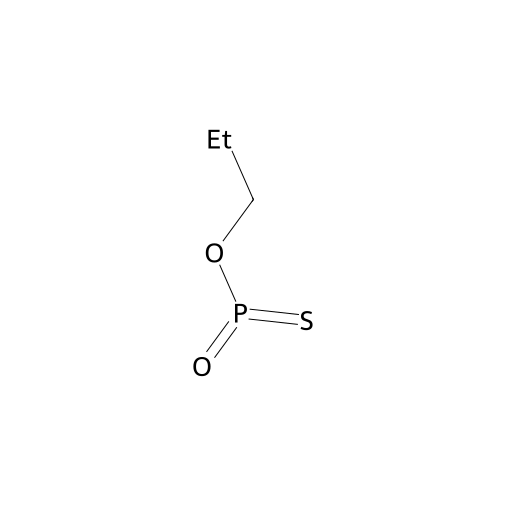 CCCOP(=O)=S